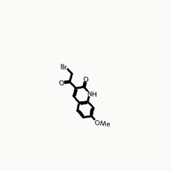 COc1ccc2cc(C(=O)CBr)c(=O)[nH]c2c1